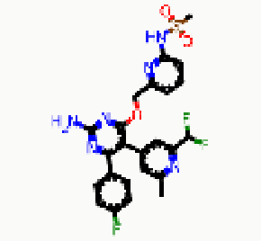 Cc1cc(-c2c(OCc3cccc(NS(C)(=O)=O)n3)nc(N)nc2-c2ccc(F)cc2)cc(C(F)F)n1